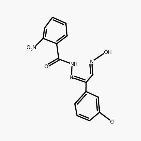 O=C(NN=C(C=NO)c1cccc(Cl)c1)c1ccccc1[N+](=O)[O-]